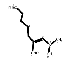 CCCCCCCCCCC(C=O)=CN(C)C